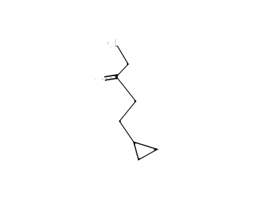 O=C(CCl)CCC1[CH]C1